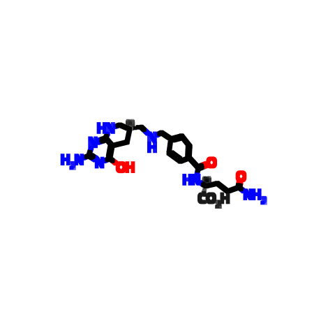 NC(=O)CC[C@@H](NC(=O)c1ccc(CNC[C@H]2CNc3nc(N)nc(O)c3C2)cc1)C(=O)O